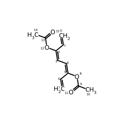 C=C/C(=C\C=C(/C=C)OC(C)=O)OC(C)=O